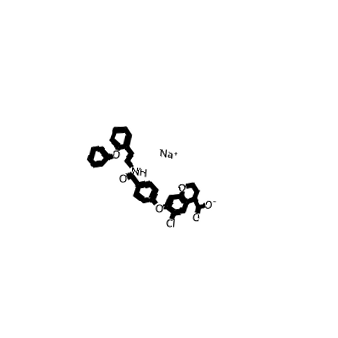 O=C(NCCc1ccccc1Oc1ccccc1)c1ccc(Oc2cc3c(cc2Cl)C(C(=O)[O-])CCO3)cc1.[Na+]